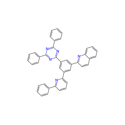 c1ccc(-c2cccc(-c3cc(-c4ccc5ccccc5n4)cc(-c4nc(-c5ccccc5)nc(-c5ccccc5)n4)c3)n2)cc1